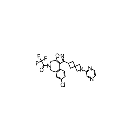 O=C(N1Cc2cc(Cl)ccc2-c2c(C3CC4(C3)CN(c3cnccn3)C4)noc2C1)C(F)(F)F